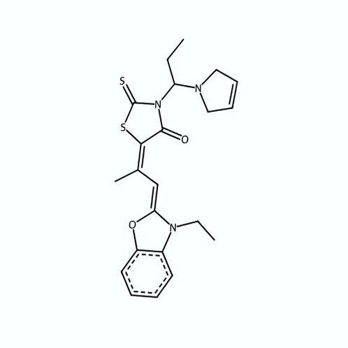 CCC(N1CC=CC1)N1C(=O)C(=C(C)C=C2Oc3ccccc3N2CC)SC1=S